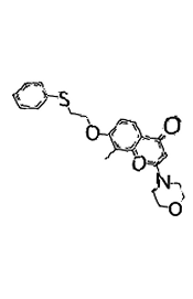 Cc1c(OCCSc2ccccc2)ccc2c(=O)cc(N3CCOCC3)oc12